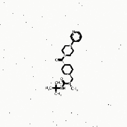 CN(C[C@H]1CC[C@H](C(=O)N2CCN(c3cccnc3)CC2)CC1)C(=O)NC(C)(C)C